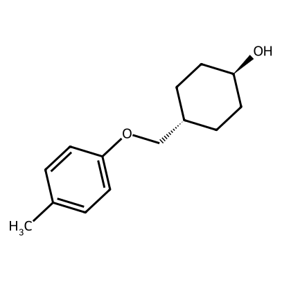 Cc1ccc(OC[C@H]2CC[C@H](O)CC2)cc1